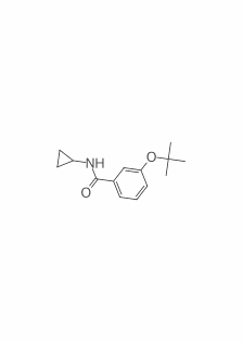 CC(C)(C)Oc1cccc(C(=O)NC2CC2)c1